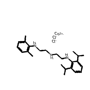 Cc1cccc(C)c1NCCNCCNc1c(C(C)C)cccc1C(C)C.[Cl-].[Cl-].[Co+2]